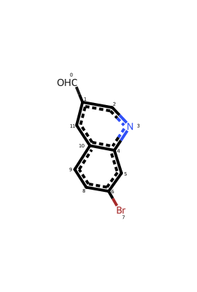 O=Cc1cnc2cc(Br)ccc2c1